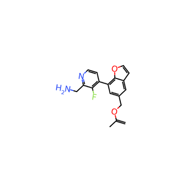 C=C(C)OCc1cc(-c2ccnc(CN)c2F)c2occc2c1